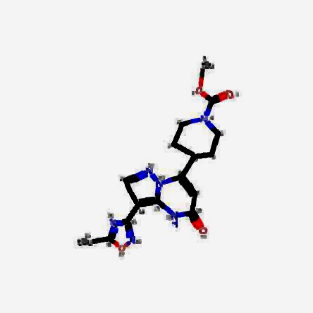 CC(C)(C)OC(=O)N1CCC(c2cc(=O)[nH]c3c(-c4noc(C(C)(C)C)n4)cnn23)CC1